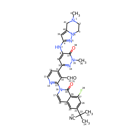 CN1CCn2nc(Nc3cc(-c4ccnc(-n5ccc6cc(C(C)(C)C#N)cc(F)c6c5=O)c4C=O)nn(C)c3=O)cc2C1